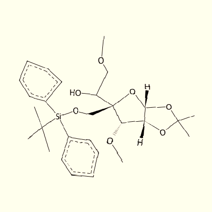 COCC(O)[C@]1(CO[Si](c2ccccc2)(c2ccccc2)C(C)(C)C)O[C@@H]2OC(C)(C)O[C@@H]2[C@@H]1OC